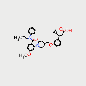 CCCN(C(=O)c1ccc(OC)cc1N1CCC(COc2cccc(C(CC(=O)O)C3CC3)c2)CC1)c1ccccc1